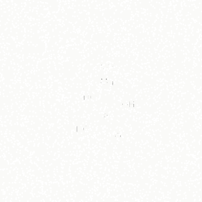 O=P(O)(O)O.[Ca+2].[K+].[Mg+2]